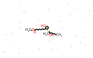 CCCCCC(C)(O)CSC1CCC(O)C1CCCCCCC(=O)OCC